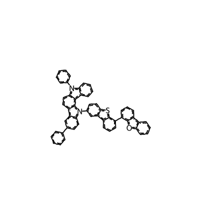 c1ccc(-c2ccc3c(c2)c2ccc4c(c5ccccc5n4-c4ccccc4)c2n3-c2ccc3sc4c(-c5cccc6c5oc5ccccc56)cccc4c3c2)cc1